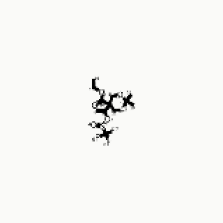 C=C(OS(=O)C(F)(F)F)C1(C(=O)OCC)COC(C)(C)OC1